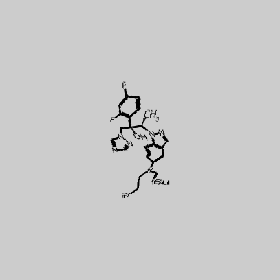 CC(C)CCN(CC(C)(C)C)c1ccc2c(cnn2[C@H](C)[C@](O)(Cn2cncn2)c2ccc(F)cc2F)c1